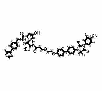 Cc1ncsc1-c1ccc(CNC(=O)[C@@H]2C[C@@H](O)CN2C(=O)C(NC(=O)CCOCCOc2ccc(-c3ccc(N4C(=S)N(c5ccc(C#N)c(C(F)(F)F)c5)C(=O)C4(C)C)cc3)cc2)C(C)(C)C)cc1